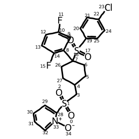 O=S(=O)(CC1CCC(c2cc(F)ccc2F)(S(=O)(=O)c2ccc(Cl)cc2)CC1)c1cccc[n+]1[O-]